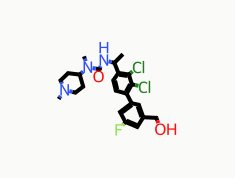 CC(NC(=O)N(C)C1CCN(C)CC1)c1ccc(-c2cc(F)cc(CO)c2)c(Cl)c1Cl